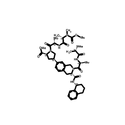 CN[C@@H](C)C(=O)N[C@H](C(=O)N1Cc2cc([C@H]3C[C@@H](C(=O)OC)N(C(=O)[C@@H](NC(=O)[C@H](C)N(C)C(=O)OC(C)(C)C)C(C)(C)C)C3)ccc2C[C@H]1C(=O)N[C@@H]1CCCc2ccccc21)C(C)(C)C